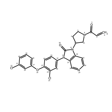 C=CC(=O)N1CCC(n2c(=O)n(-c3ccc(Oc4cccc(Cl)c4)c(Cl)c3)c3cnccc32)C1